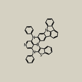 c1ccc(N2c3cc4c(cc3B3c5c2cncc5N(c2ccccc2)c2sc5ccccc5c23)c2cccc3c5ccccc5n4c32)cc1